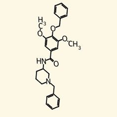 COc1cc(C(=O)NC2CCCN(Cc3ccccc3)C2)cc(OC)c1OCc1ccccc1